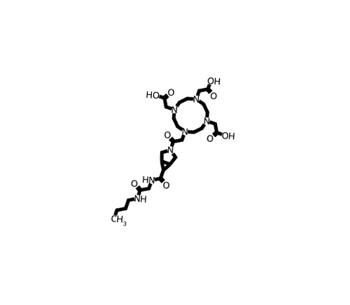 CCCCNC(=O)CNC(=O)C1C2CN(C(=O)CN3CCN(CC(=O)O)CCN(CC(=O)O)CCN(CC(=O)O)CC3)CC21